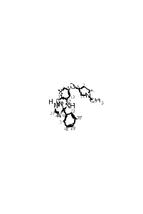 Cc1ncc(OC2CCN(C)C2)cc1NC1(c2ccccc2)N=CN=N1